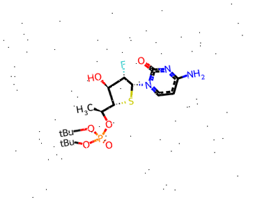 C[C@H](OP(=O)(OC(C)(C)C)OC(C)(C)C)[C@H]1S[C@@H](n2ccc(N)nc2=O)[C@@H](F)[C@@H]1O